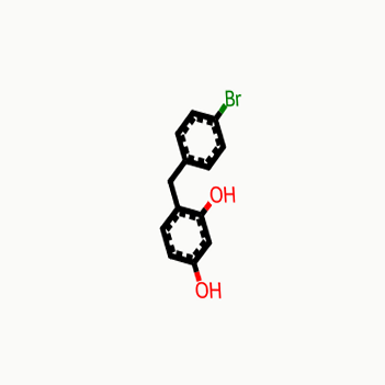 Oc1ccc(Cc2ccc(Br)cc2)c(O)c1